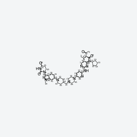 CC(=O)c1c(C)c2cnc(Nc3ccc(N4CCN(CC5CCN(c6ccc7c(N8CCC(=O)NC8=O)nn(C)c7c6)CC5)CC4)cn3)nc2n(C2CCCC2)c1=O